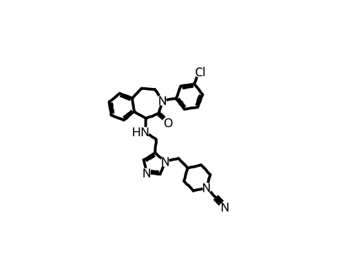 N#CN1CCC(Cn2cncc2CNC2C(=O)N(c3cccc(Cl)c3)CCc3ccccc32)CC1